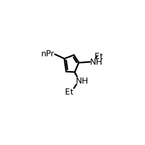 CCCC1=C[C](NCC)C(NCC)=C1